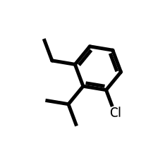 CCc1cccc(Cl)c1C(C)C